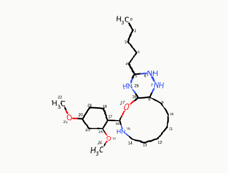 CCCCCC1NNC2CCCCCCNC(C3CCC(OC)CC3OC)OC2N1